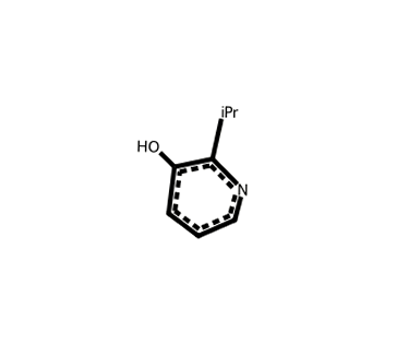 CC(C)c1ncccc1O